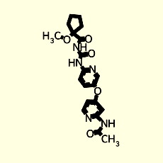 COC1(C(=O)NC(=O)Nc2ccc(Oc3ccnc(NC(C)=O)c3)cn2)CCCC1